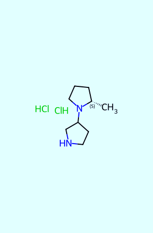 C[C@H]1CCCN1C1CCNC1.Cl.Cl